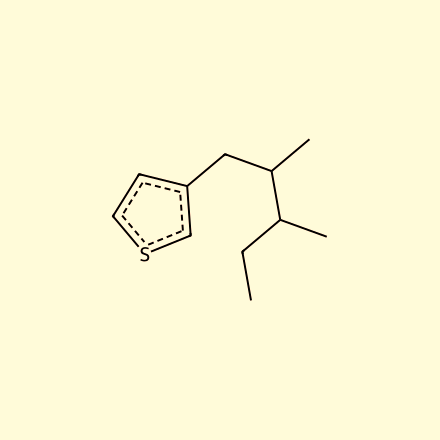 CCC(C)C(C)Cc1ccsc1